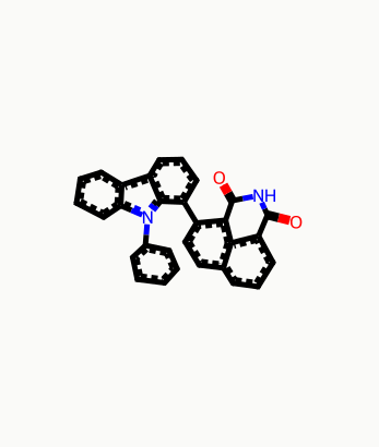 O=C1NC(=O)c2c(-c3cccc4c5ccccc5n(-c5ccccc5)c34)ccc3cccc1c23